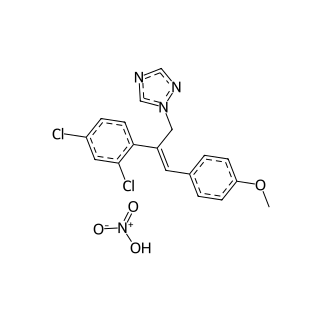 COc1ccc(/C=C(\Cn2cncn2)c2ccc(Cl)cc2Cl)cc1.O=[N+]([O-])O